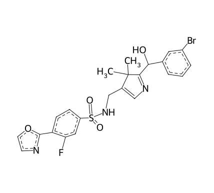 CC1(C)C(CNS(=O)(=O)c2ccc(-c3ncco3)c(F)c2)=CN=C1C(O)c1cccc(Br)c1